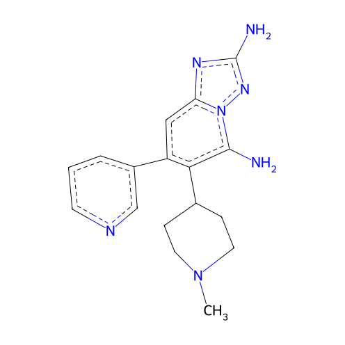 CN1CCC(c2c(-c3cccnc3)cc3nc(N)nn3c2N)CC1